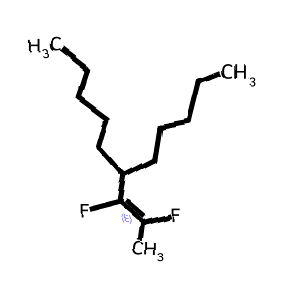 CCCCCC(CCCCC)/C(F)=C(/C)F